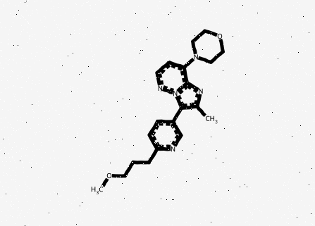 COCCCc1ccc(-c2c(C)nc3c(N4CCOCC4)ccnn23)cn1